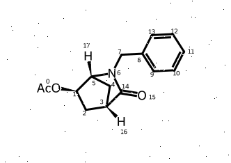 CC(=O)O[C@@H]1C[C@@H]2C[C@H]1N(Cc1ccccc1)C2=O